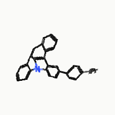 CC(C)c1ccc(-c2ccc3c(c2)c2c4ccccc4cc4c5ccccc5n3c42)cc1